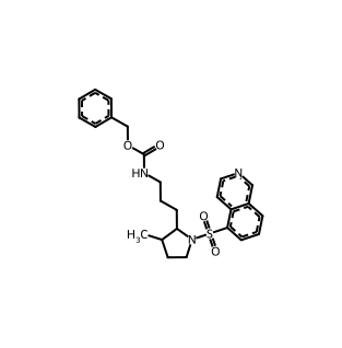 CC1CCN(S(=O)(=O)c2cccc3cnccc23)C1CCCNC(=O)OCc1ccccc1